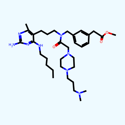 CCCCCNc1nc(N)nc(C)c1CCCN(Cc1cccc(CC(=O)OC)c1)C(=O)CN1CCN(CCCN(C)C)CC1